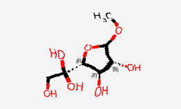 COC1O[C@@H](C(O)(O)CO)[C@H](O)[C@H]1O